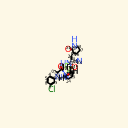 C[C@H](Nc1cccc(Cl)c1)C(=O)N1[C@@H]2CC[C@H]([C@@H]1C(=O)N[C@@H](C#N)C[C@@H]1CCCNC1=O)C(F)(F)C2